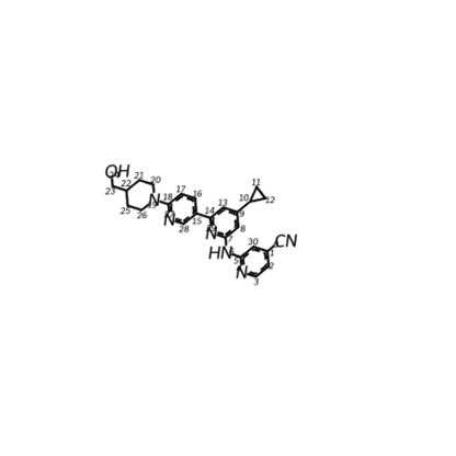 N#Cc1ccnc(Nc2cc(C3CC3)cc(-c3ccc(N4CCC(CO)CC4)nc3)n2)c1